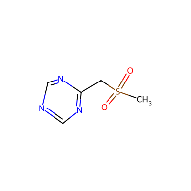 CS(=O)(=O)Cc1ncncn1